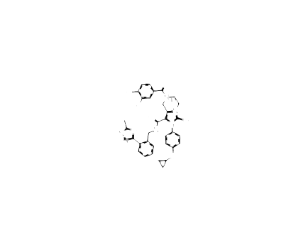 Cc1nnc(-c2ccccc2CNC(=O)c2c3n(c(=O)n2-c2ccc(OC4CC4)cc2)C[C@@H](C)N(C(=O)c2ccc(Br)c(C(F)(F)F)c2)C3)o1